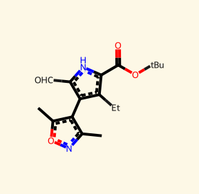 CCc1c(C(=O)OC(C)(C)C)[nH]c(C=O)c1-c1c(C)noc1C